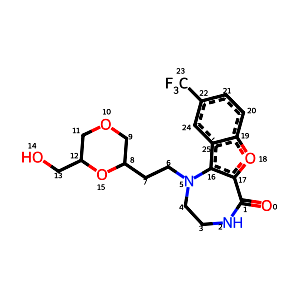 O=C1NCCN(CCC2COCC(CO)O2)c2c1oc1ccc(C(F)(F)F)cc21